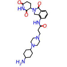 NC1CCC(N2CCN(CCC(=O)Nc3cccc4c3CN(C3CCC(=O)NC3=O)C4=O)CC2)CC1